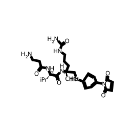 CC(C)[C@H](NC(=O)CCN)C(=O)N[C@](C=O)(CCCNC(N)=O)CNc1ccc(N2C(=O)C=CC2=O)cc1